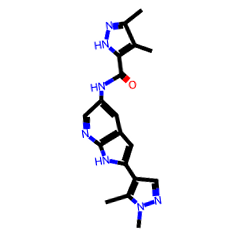 Cc1n[nH]c(C(=O)Nc2cnc3[nH]c(-c4cnn(C)c4C)cc3c2)c1C